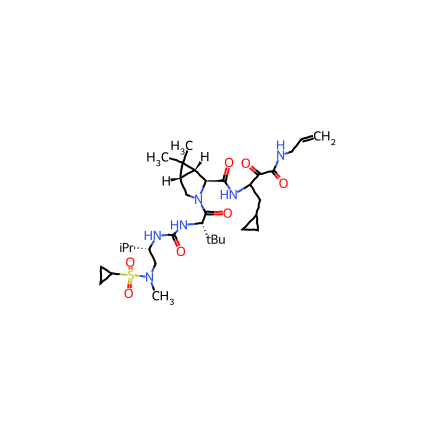 C=CCNC(=O)C(=O)C(CC1CC1)NC(=O)[C@@H]1[C@@H]2[C@H](CN1C(=O)[C@@H](NC(=O)N[C@H](CN(C)S(=O)(=O)C1CC1)C(C)C)C(C)(C)C)C2(C)C